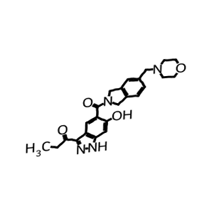 CCC(=O)c1n[nH]c2cc(O)c(C(=O)N3Cc4ccc(CN5CCOCC5)cc4C3)cc12